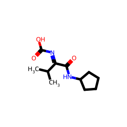 CC(C)/C(=N\C(=O)O)C(=O)NC1CCCC1